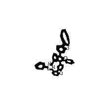 c1ccc(-c2nc(-c3ccccc3)nc(-c3cccc4oc5ccc(-c6ccc(-c7ccc8c(c7)sc7ccccc78)c7oc8ccccc8c67)cc5c34)n2)cc1